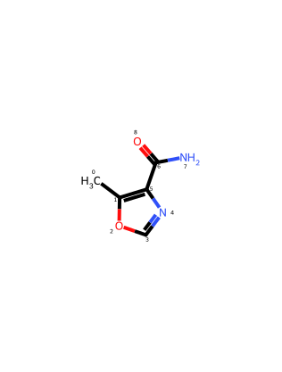 Cc1ocnc1C(N)=O